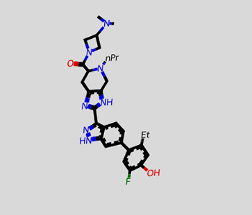 CCCN1Cc2[nH]c(-c3n[nH]c4cc(-c5cc(F)c(O)cc5CC)ccc34)nc2CC1C(=O)N1CC(N(C)C)C1